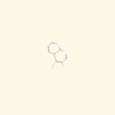 OCc1c(Cl)cnc2ncccc12